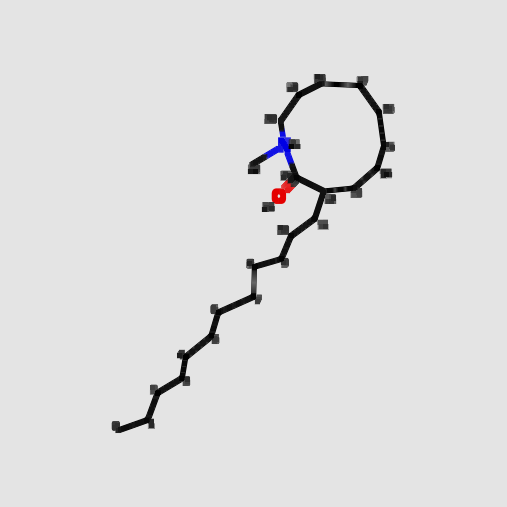 CCCCCCCCCCCCC1CCCCCCCCN(C)C1=O